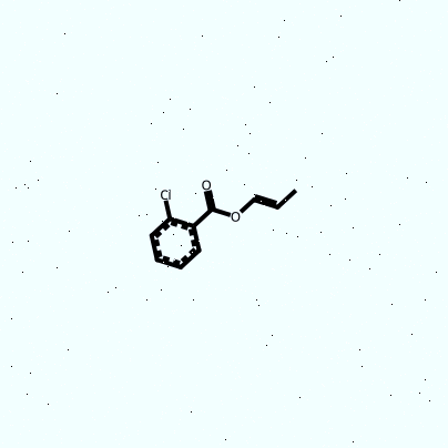 CC=COC(=O)c1ccccc1Cl